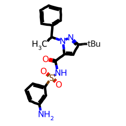 CC(c1ccccc1)n1nc(C(C)(C)C)cc1C(=O)NS(=O)(=O)c1cccc(N)c1